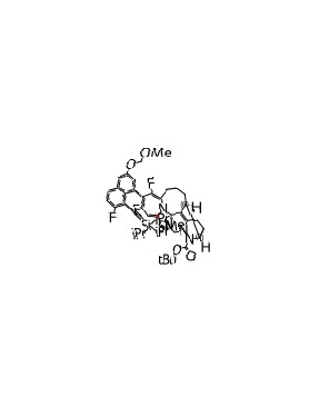 COCOc1cc(C2=C(F)C=C(SC)N3C4=NCN5C6=C4[C@@H](CCCC3=C2F)[C@H](CC6)N5C(=O)OC(C)(C)C)c2c(C#C[Si](C(C)C)(C(C)C)C(C)C)c(F)ccc2c1